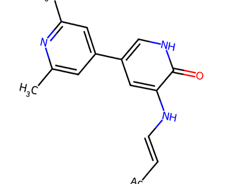 CC(=O)C=CNc1cc(-c2cc(C)nc(C)c2)c[nH]c1=O